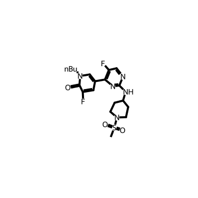 CCCCn1cc(-c2nc(NC3CCN(S(C)(=O)=O)CC3)ncc2F)cc(F)c1=O